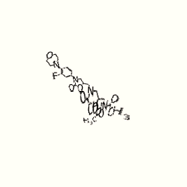 CC(=O)NCC(CN(CC1CN(c2ccc(N3CCOCC3)c(F)c2)C(=O)O1)C(C)=O)OC(C)=O